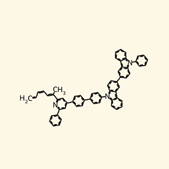 C=C/C=C\C=C(/C)c1cc(-c2ccc(-c3ccc(-n4c5ccccc5c5cc(-c6ccc7c(c6)c6ccccc6n7-c6ccccc6)ccc54)cc3)cc2)cc(-c2ccccc2)n1